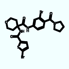 O=C(NC1(C(=O)Nc2ccc(C(=O)N3CCCC3)c(Br)c2)CCOCC1)c1ccc(Br)s1